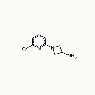 NC1CN(c2cccc(Cl)n2)C1